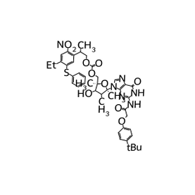 CCc1cc([N+](=O)[O-])c(C(C)COC(=O)OC[C@@]2(C)O[C@@](C)(n3cnc4c(=O)[nH]c(NC(=O)COc5ccc(C(C)(C)C)cc5)nc43)C(C)C2O)cc1Sc1ccccc1